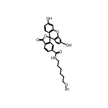 CC(C)OCCCCCCNC(=O)c1ccc2c(c1)C1(OC2=O)c2ccc(O)cc2Oc2cc(O)ccc21